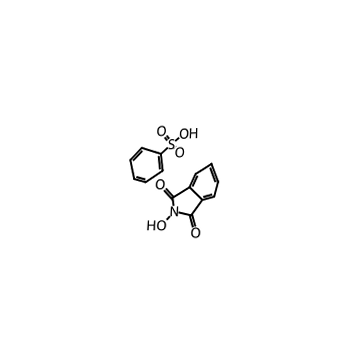 O=C1c2ccccc2C(=O)N1O.O=S(=O)(O)c1ccccc1